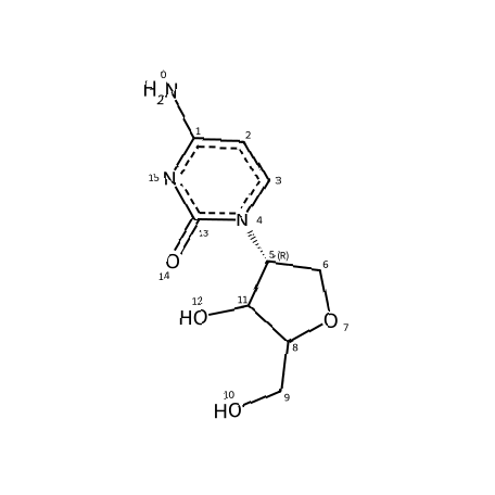 Nc1ccn([C@@H]2COC(CO)C2O)c(=O)n1